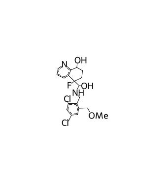 COCc1cc(Cl)cc(Cl)c1CNC(O)C1(F)CCC(O)c2ncccc21